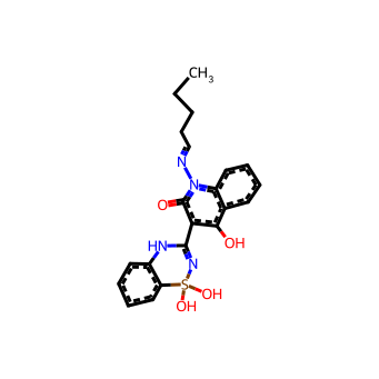 CCCCC=Nn1c(=O)c(C2=NS(O)(O)c3ccccc3N2)c(O)c2ccccc21